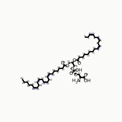 CC/C=C\C/C=C\C/C=C\CCCCCCCC(=O)O[C@H](COC(=O)CCCCC/C=C\C/C=C\C/C=C\C/C=C\CCCCC)COP(=O)(O)OC[C@H](N)C(=O)O